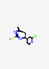 CSc1nc(C)cc(-c2ccnc(Cl)c2)n1